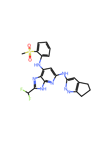 CS(=O)(=O)c1ccccc1Nc1cc(Nc2cc3c(nn2)CCC3)nc2[nH]c(C(F)F)nc12